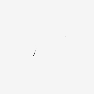 OC[C@H]1CC[C@H](C(F)(F)F)C1